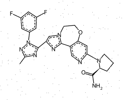 Cc1nc(-c2cn3c(n2)-c2cnc(N4CCC[C@H]4C(N)=O)cc2OCC3)n(-c2cc(F)cc(F)c2)n1